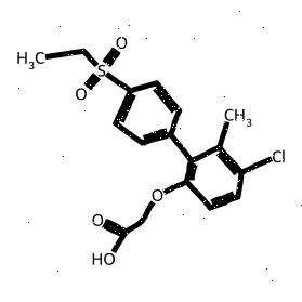 CCS(=O)(=O)c1ccc(-c2c(OCC(=O)O)ccc(Cl)c2C)cc1